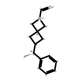 C[C@@H](c1ccccc1)C1CC2(C1)CN(C=O)C2